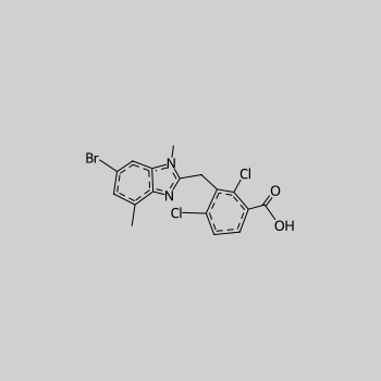 Cc1cc(Br)cc2c1nc(Cc1c(Cl)ccc(C(=O)O)c1Cl)n2C